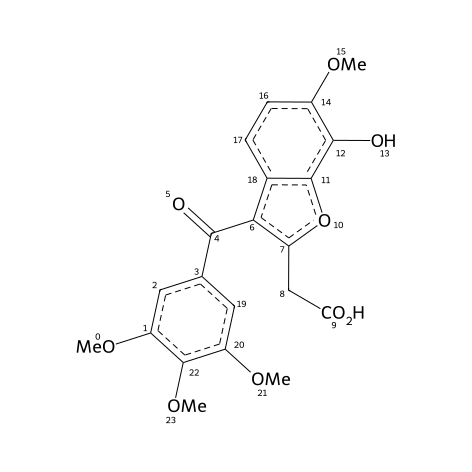 COc1cc(C(=O)c2c(CC(=O)O)oc3c(O)c(OC)ccc23)cc(OC)c1OC